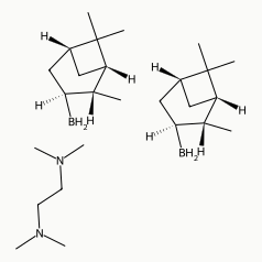 B[C@H]1C[C@H]2C[C@@H]([C@@H]1C)C2(C)C.B[C@H]1C[C@H]2C[C@@H]([C@@H]1C)C2(C)C.CN(C)CCN(C)C